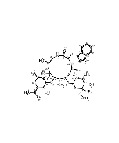 COC1(C)CC(O[C@H]2[C@H](C)[C@@H](OC3O[C@H](C)C[C@H](N(C)C)[C@H]3O)[C@](C)(O)C[C@@H](C)CNC(=O)C(Cc3c[nH]c4ccccc34)NC(=O)[C@@H]2C)O[C@@H](C)[C@@H]1O